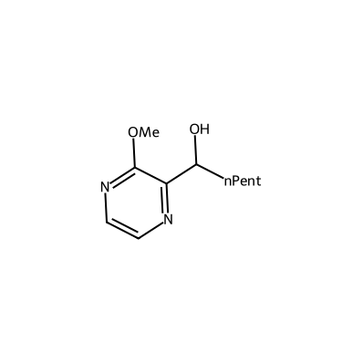 CCCCCC(O)c1nccnc1OC